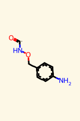 Nc1ccc(CON[C]=O)cc1